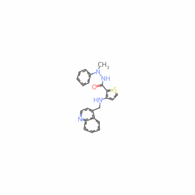 CN(NC(=O)c1sccc1NCc1ccnc2ccccc12)c1ccccc1